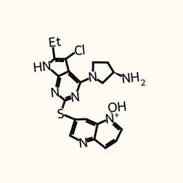 CCc1[nH]c2nc(Sc3cnc4ccc[n+](O)c4c3)nc(N3CC[C@@H](N)C3)c2c1Cl